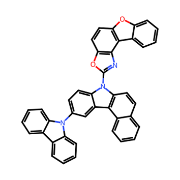 c1ccc2c(c1)ccc1c2c2cc(-n3c4ccccc4c4ccccc43)ccc2n1-c1nc2c(ccc3oc4ccccc4c32)o1